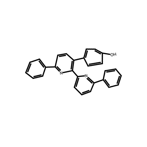 Oc1ccc(-c2ccc(-c3ccccc3)nc2-c2cccc(-c3ccccc3)n2)cc1